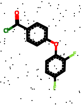 O=C(Cl)c1ccc(Oc2ccc(F)cc2F)cc1